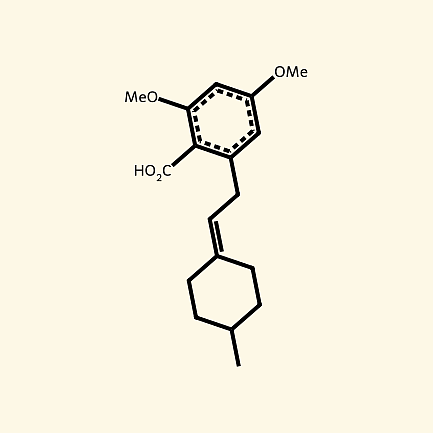 COc1cc(CC=C2CCC(C)CC2)c(C(=O)O)c(OC)c1